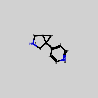 c1cc(C23CNCC2C3)ccn1